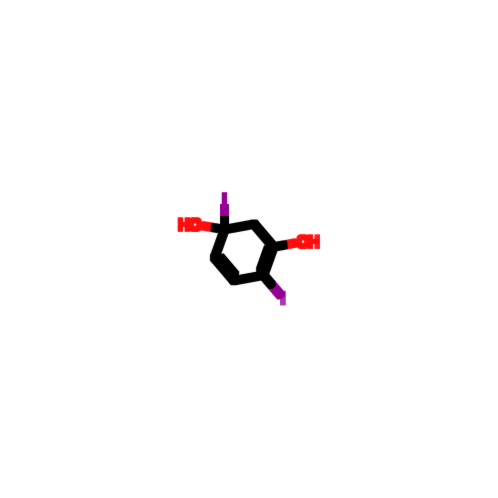 OC1=C(I)C=CC(O)(I)C1